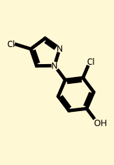 Oc1ccc(-n2cc(Cl)cn2)c(Cl)c1